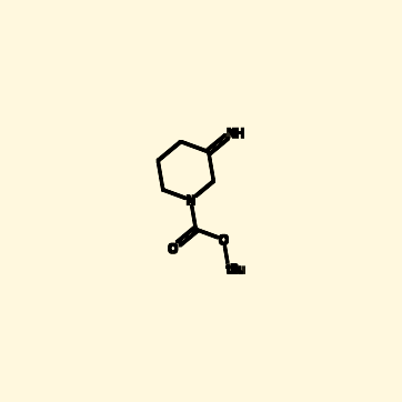 CC(C)(C)OC(=O)N1CCCC(=N)C1